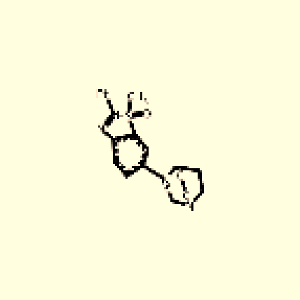 CCC1=Nc2ccc(N3CCN4CCC3CC4)cc2[SH]1(C)=O